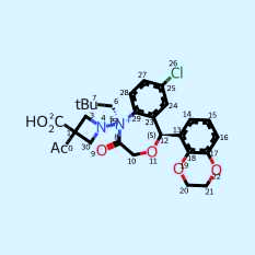 CC(=O)C1(C(=O)O)CN([N@+]2(CC(C)(C)C)C(=O)CO[C@H](c3cccc4c3OCCO4)c3cc(Cl)ccc32)C1